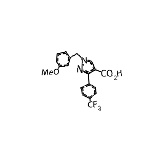 COc1cccc(Cn2cc(C(=O)O)c(-c3ccc(C(F)(F)F)cc3)n2)c1